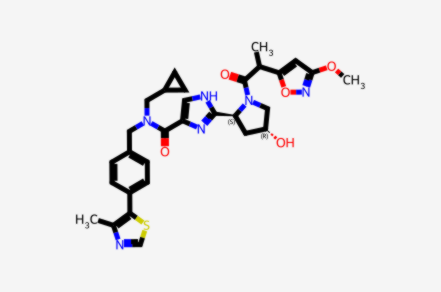 COc1cc(C(C)C(=O)N2C[C@H](O)C[C@H]2c2nc(C(=O)N(Cc3ccc(-c4scnc4C)cc3)CC3CC3)c[nH]2)on1